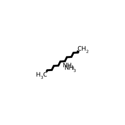 C=CCCCCCCCCCC.N.N